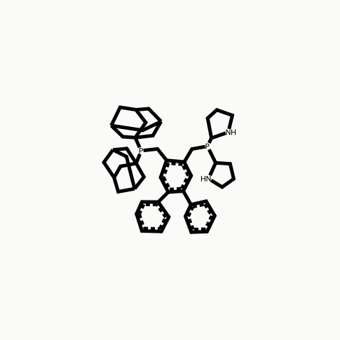 c1ccc(-c2cc(CP(C3CCCN3)C3CCCN3)c(CP(C34CC5CC(CC(C5)C3)C4)C34CC5CC(CC(C5)C3)C4)cc2-c2ccccc2)cc1